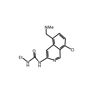 CCNC(=O)Nc1cc2c(CNC)ccc(Cl)c2cn1